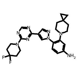 Nc1ccc(-n2cc(-c3ncnc(N4CCC(F)(F)CC4)n3)cn2)c(N2CCC3(CC2)CC3)c1